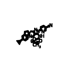 CS(=O)(=O)CC(=O)Nc1c2c(nn1-c1ccc(C#N)cn1)C[C@@]1(CCc3cc(C4CC4)ccc31)NC2=O